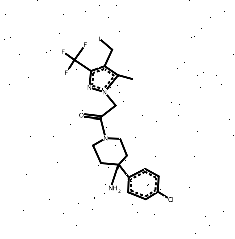 Cc1c(CI)c(C(F)(F)F)nn1CC(=O)N1CCC(N)(c2ccc(Cl)cc2)CC1